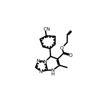 C=CCOC(=O)C1=C(C)Nc2ncnn2C1c1ccc(C#N)cc1